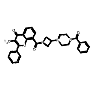 Cc1c(-c2ccccc2)oc2c(C(=O)N3CC(N4CCN(C(=O)c5ccccc5)CC4)C3)cccc2c1=O